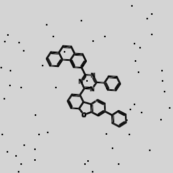 C1=CC2Oc3cc(-c4ccccc4)ccc3C2C(c2nc(-c3ccccc3)nc(-c3ccc4ccc5ccccc5c4c3)n2)=C1